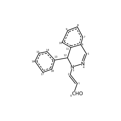 O=CC=CN1N=Cc2ccccc2C1c1ccccc1